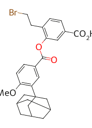 COc1ccc(C(=O)Oc2cc(C(=O)O)ccc2CCBr)cc1C12CC3CC(CC(C3)C1)C2